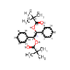 CC(C)(C)C(=O)O/C(=C(/OC(=O)C(C)(C)C)c1ccccc1)c1ccccc1